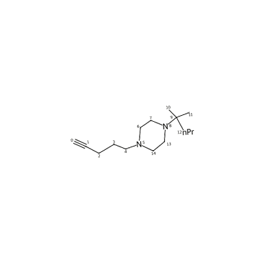 C#CCCCN1CCN(C(C)(C)CCC)CC1